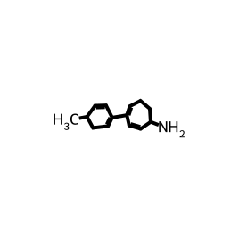 CC1C=CC(C2=CCCC(N)C=C2)=CC1